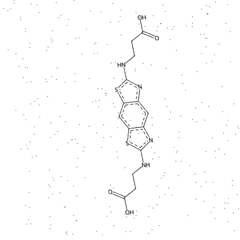 O=C(O)CCNc1nc2cc3nc(NCCC(=O)O)sc3cc2s1